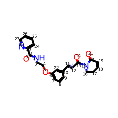 O=C(NCCOc1cccc(/C=C/C(=O)N2CCC=CC2=O)c1)c1ccccn1